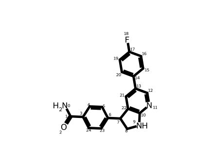 NC(=O)c1ccc(C2CNc3ncc(-c4ccc(F)cc4)cc32)cc1